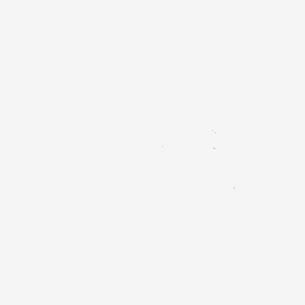 CCCCCC(=O)Oc1ccc(C2(c3ccccc3[N+](=O)[O-])CCC(C(=O)O)CC2)cc1